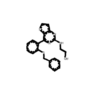 OCCNc1nc(-c2ccccc2SCc2ccccc2)c2sccc2n1